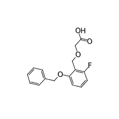 O=C(O)COCc1c(F)cccc1OCc1ccccc1